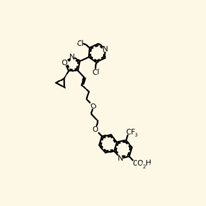 O=C(O)c1cc(C(F)(F)F)c2cc(OCCOCC/C=C/c3c(-c4c(Cl)cncc4Cl)noc3C3CC3)ccc2n1